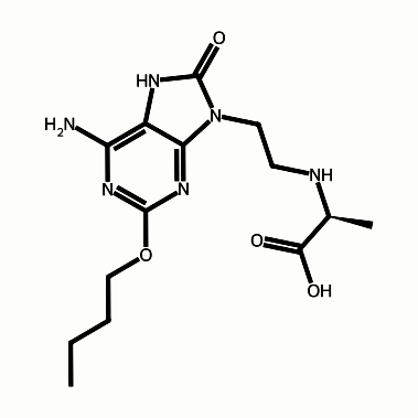 CCCCOc1nc(N)c2[nH]c(=O)n(CCN[C@@H](C)C(=O)O)c2n1